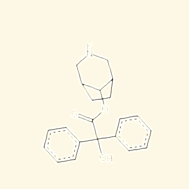 O=C(OC1C2CCC1CNC2)C(O)(c1ccccc1)c1ccccc1